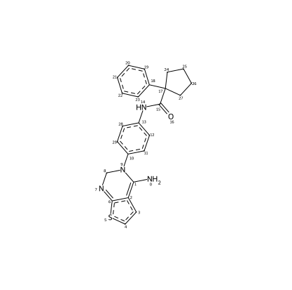 NC1=c2ccsc2=NCN1c1ccc(NC(=O)C2(c3ccccc3)CCCC2)cc1